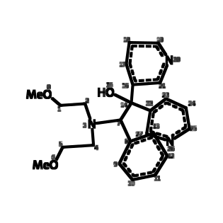 COCCN(CCOC)C(c1ccccc1)C(O)(c1cccnc1)c1cccnc1